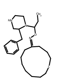 CCC(ON=C1CCCCCCCCCCC1)N1CCNCC1Cc1ccccc1